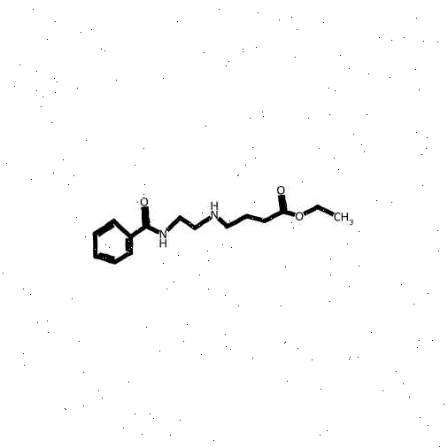 CCOC(=O)CCCNCCNC(=O)c1ccccc1